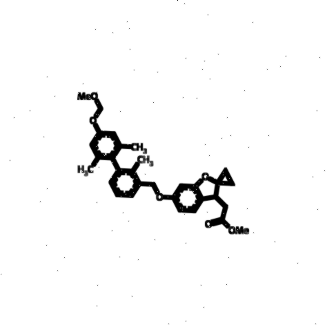 COCOc1cc(C)c(-c2cccc(COc3ccc4c(c3)OC3(CC3)C4CC(=O)OC)c2C)c(C)c1